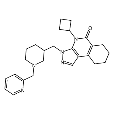 O=c1c2c(c3cnn(CC4CCCN(Cc5ccccn5)C4)c3n1C1CCC1)CCCC2